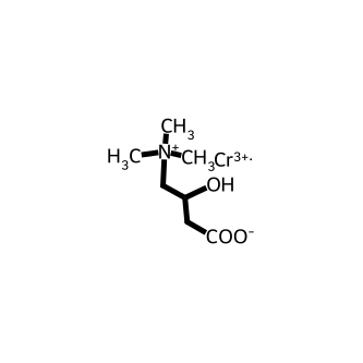 C[N+](C)(C)CC(O)CC(=O)[O-].[Cr+3]